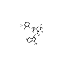 CC(=O)c1cn(CC(=O)N2[C@@H]3C[C@@H]3C[C@H]2C(=O)NCc2cccc(Cl)c2F)c2nnccc12